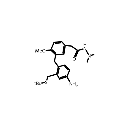 COc1ccc(CC(=O)NN(C)C)cc1Cc1ccc(N)cc1CSC(C)(C)C